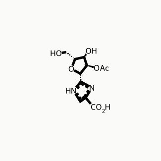 CC(=O)O[C@@H]1[C@H](O)[C@@H](CO)O[C@H]1c1nc(C(=O)O)c[nH]1